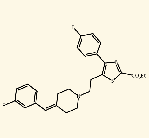 CCOC(=O)c1nc(-c2ccc(F)cc2)c(CCN2CCC(=Cc3cccc(F)c3)CC2)s1